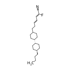 CCCC[C@H]1CC[C@H](C2CCC(CC/C=C/C=C(\F)C#N)CC2)CC1